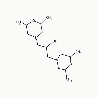 CC1CN(CC(O)CN2CC(C)OC(C)C2)CC(C)O1